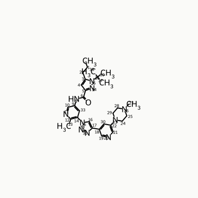 CCCc1cc(C(=O)Nc2cnc(C)c(-n3cc(-c4cncc(N5CCN(C)CC5)c4)nn3)c2)nn1C(C)(C)C